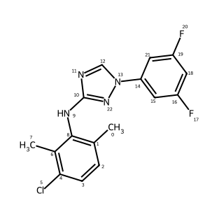 Cc1ccc(Cl)c(C)c1Nc1ncn(-c2cc(F)cc(F)c2)n1